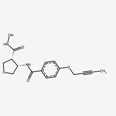 CC#CCOc1ccc(C(=O)N[C@@H]2COC[C@@H]2C(=O)NO)cc1